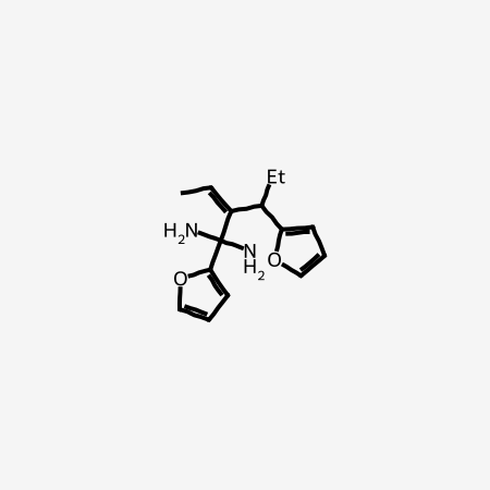 CC=C(C(CC)c1ccco1)C(N)(N)c1ccco1